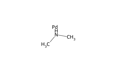 CNC.[Pd]